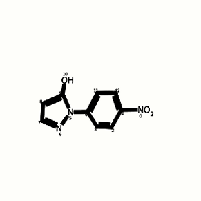 O=[N+]([O-])c1ccc(-n2nccc2O)cc1